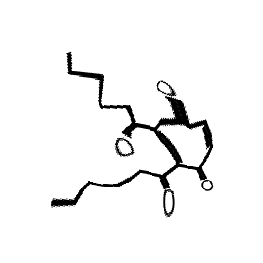 CCCCCC(=O)C1=C(C(=O)CCCCC)C(=O)C=CC1=O